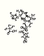 O=C(O)C(F)(F)F.[2H]C([2H])([2H])c1ccc(S(=O)(=O)NC23CCC(C#N)(C2)C3)cc1-c1cnc(N)c(-c2cnc(C)s2)n1